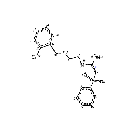 CS/C(=C/S(=O)(=O)c1ccccc1)NCCSCc1ncccc1Cl